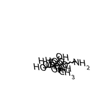 COC(OC1C(O)C(CO)OC(OCCCCCN)C1NC(C)=O)[C@@H](O)/C=C/[C@H](O)CO